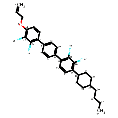 C=CCOc1ccc(-c2ccc(-c3ccc(C4CCC(CCCC)CC4)c(F)c3F)cc2)c(F)c1F